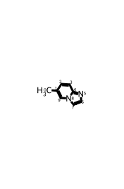 Cc1ccc2nc[c]n2c1